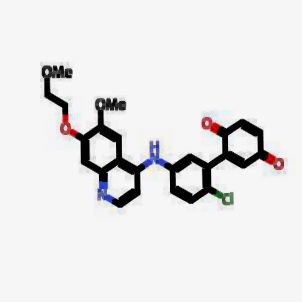 COCCOc1cc2nccc(Nc3ccc(Cl)c(C4=CC(=O)C=CC4=O)c3)c2cc1OC